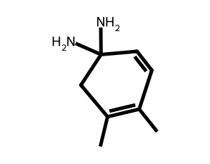 CC1=C(C)CC(N)(N)C=C1